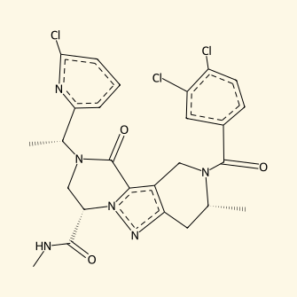 CNC(=O)[C@@H]1CN([C@H](C)c2cccc(Cl)n2)C(=O)c2c3c(nn21)C[C@@H](C)N(C(=O)c1ccc(Cl)c(Cl)c1)C3